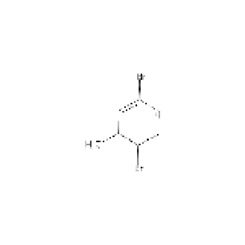 CC1C=C(Br)C=CC1Br